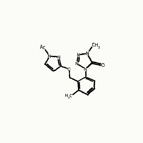 CC(=O)n1ccc(OCc2c(C)cccc2-n2nnn(C)c2=O)n1